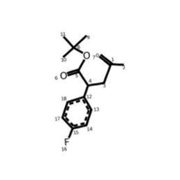 C=C(C)CC(C(=O)OC(C)(C)C)c1ccc(F)cc1